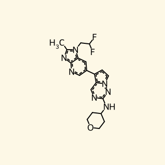 Cc1nc2ncc(-c3ccn4nc(NC5CCOCC5)ncc34)cc2n1CC(F)F